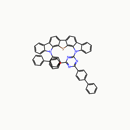 c1ccc(-c2ccc(-c3nc(-c4ccccc4)nc(-n4c5ccccc5c5ccc6c7ccc8c9ccccc9n(-c9ccccc9-c9ccccc9)c8c7sc6c54)n3)cc2)cc1